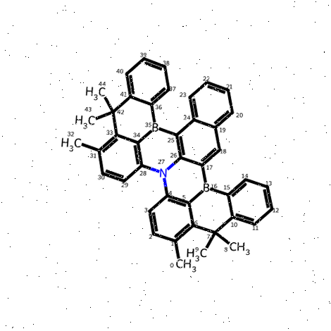 Cc1ccc2c3c1C(C)(C)c1ccccc1B3c1cc3ccccc3c3c1N2c1ccc(C)c2c1B3c1ccccc1C2(C)C